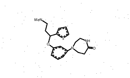 CNCCC(Oc1cccc(N2CCNC(=O)CC2)c1)c1cccs1